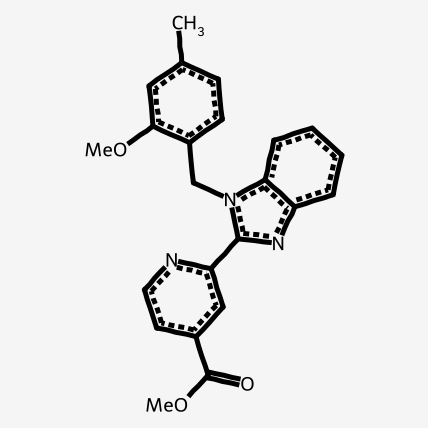 COC(=O)c1ccnc(-c2nc3ccccc3n2Cc2ccc(C)cc2OC)c1